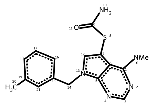 CNc1ncnc2c1c(SC(N)=O)cn2Cc1cccc(C)c1